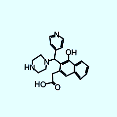 O=C(O)Cc1cc2ccccc2c(O)c1C(c1ccncc1)N1CCNCC1